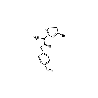 COc1ccc(CC(=O)N(N)c2cc(Br)ccn2)cc1